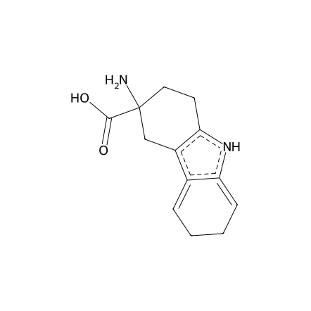 NC1(C(=O)O)CCc2[nH]c3c(c2C1)=CCCC=3